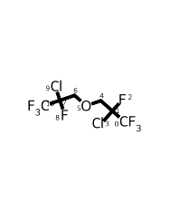 FC(F)(F)C(F)(Cl)COCC(F)(Cl)C(F)(F)F